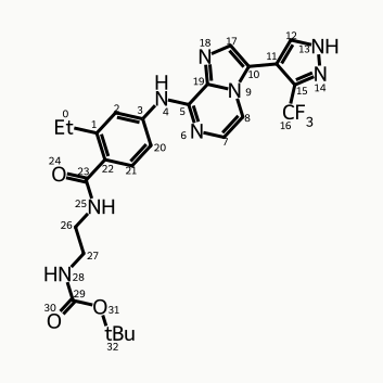 CCc1cc(Nc2nccn3c(-c4c[nH]nc4C(F)(F)F)cnc23)ccc1C(=O)NCCNC(=O)OC(C)(C)C